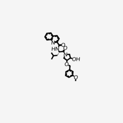 COc1cccc(COC2CN(C(=O)[C@H](CC(C)C)NC(=O)c3ccc4ccccc4n3)CC2O)c1